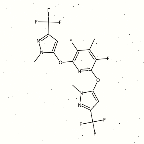 Cc1c(F)c(Oc2cc(C(F)(F)F)nn2C)nc(Oc2cc(C(F)(F)F)nn2C)c1F